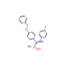 CC(=O)[C@@H](O)[C@H](Nc1ccc(F)cc1)c1ccc(OCc2ccccc2)cc1